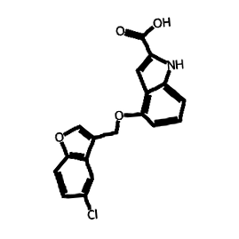 O=C(O)c1cc2c(OCc3coc4ccc(Cl)cc34)cccc2[nH]1